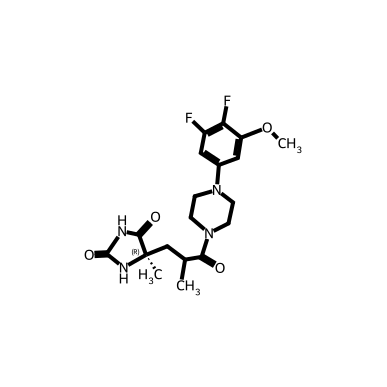 COc1cc(N2CCN(C(=O)C(C)C[C@@]3(C)NC(=O)NC3=O)CC2)cc(F)c1F